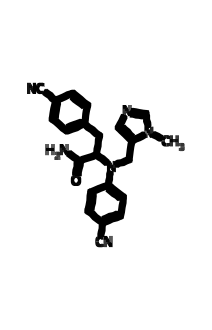 Cn1cncc1CN(c1ccc(C#N)cc1)C(Cc1ccc(C#N)cc1)C(N)=O